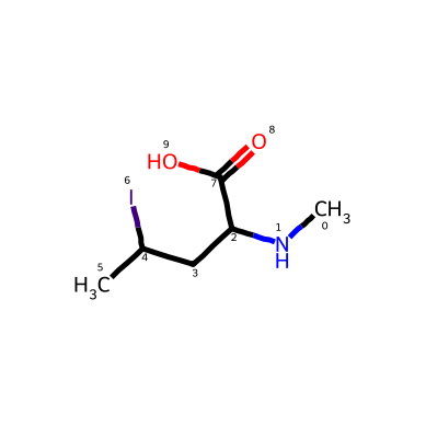 CNC(CC(C)I)C(=O)O